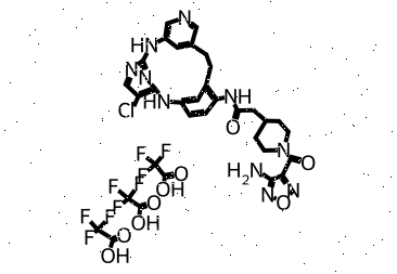 Nc1nonc1C(=O)N1CCC(CC(=O)Nc2ccc3cc2CCc2cncc(c2)Nc2ncc(Cl)c(n2)N3)CC1.O=C(O)C(F)(F)F.O=C(O)C(F)(F)F.O=C(O)C(F)(F)F